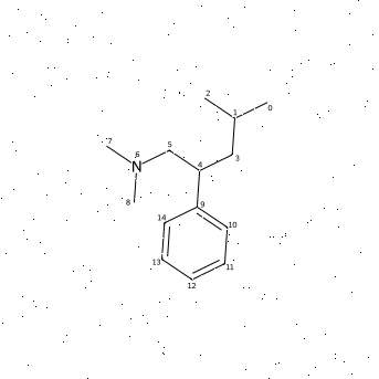 CC(C)CC(CN(C)C)c1ccccc1